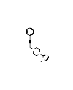 Cn1ccnc1N1CCN(CC#Cc2ccccc2)CC1